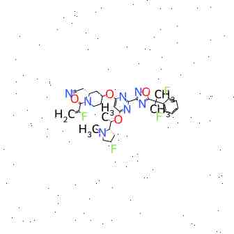 C=C(F)C(=O)N1CC[C@H](Oc2cc(O[C@@H](C)[C@@H]3C[C@H](F)CN3C)nc(-c3noc(C(C)(C)c4c(F)cccc4F)n3)n2)C[C@H]1CC#N